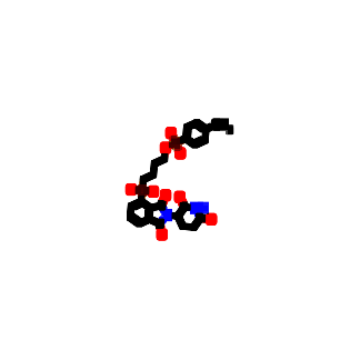 Cc1ccc(S(=O)(=O)OCCCCS(=O)(=O)c2cccc3c2C(=O)N(C2CCC(=O)NC2=O)C3=O)cc1